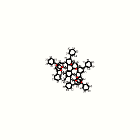 N#Cc1c(-n2c3ccccc3c3ccccc32)c(-n2c3ccc(C4=CCCC=C4)cc3c3cc(-c4ccccc4)ccc32)c(-c2ccccc2)c(-n2c3ccc(-c4ccccc4)cc3c3cc(-c4ccccc4)ccc32)c1-n1c2ccccc2c2ccccc21